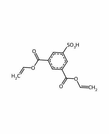 C=COC(=O)c1cc(C(=O)OC=C)cc(S(=O)(=O)O)c1